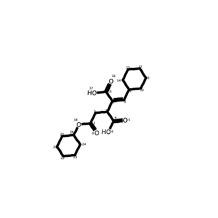 O=C(CC(C(=O)O)C(=CC1CCCCC1)C(=O)O)OC1CCCCC1